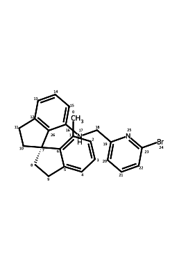 Cc1cccc2c1[C@@]1(CC2)CCc2cccc(NCc3cccc(Br)n3)c21